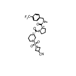 CN(Cc1ccc(C(F)(F)F)cc1)C(=O)[C@H]1CCCN1C(=O)[C@H]1CCCN(S(=O)(=O)N2CC(C#N)C2)C1